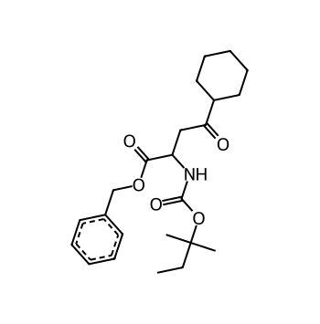 CCC(C)(C)OC(=O)NC(CC(=O)C1CCCCC1)C(=O)OCc1ccccc1